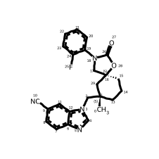 C[C@]1(Cn2cnc3ccc(C#N)cc32)CCC[C@@]2(CN(c3ccccc3F)C(=O)O2)C1